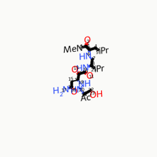 CNC(=O)C(CC(C)C)NCC(NC(=O)C(=O)[C@H](CC(N)=O)NN[C@@H](CO)C(C)=O)C(C)C